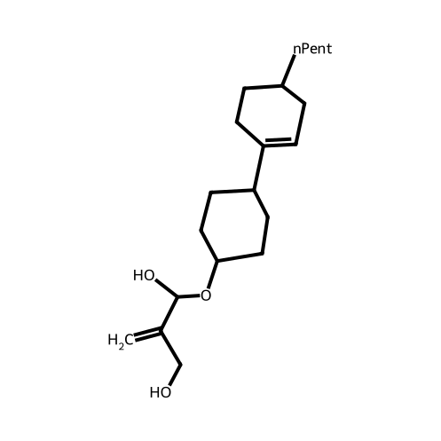 C=C(CO)C(O)OC1CCC(C2=CCC(CCCCC)CC2)CC1